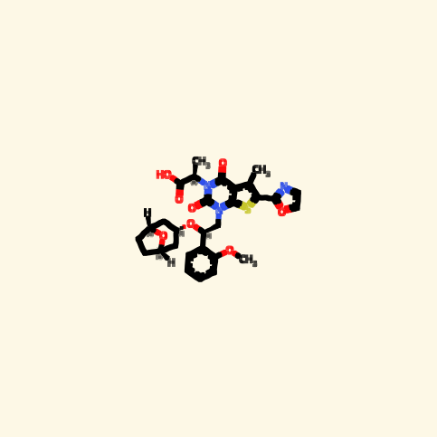 COc1ccccc1[C@H](Cn1c(=O)n([C@H](C)C(=O)O)c(=O)c2c(C)c(-c3ncco3)sc21)O[C@H]1C[C@H]2CC[C@@H](C1)O2